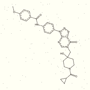 COc1ccc(C(=O)Nc2ccc(-n3ncc4c(=O)n(CC5(O)CCN(C(=O)C6CC6)CC5)cnc43)cc2)cc1